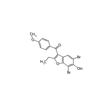 CCc1oc2c(Br)c(O)c(Br)cc2c1C(=O)c1ccc(OC)cc1